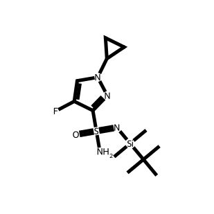 CC(C)(C)[Si](C)(C)N=S(N)(=O)c1nn(C2CC2)cc1F